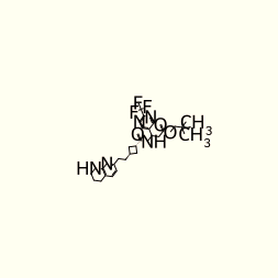 CC(C)COC(=O)CC(NC(=O)[C@H]1C[C@H](CCc2ccc3c(n2)NCCC3)C1)c1cnc(C(F)(F)F)nc1